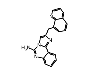 Nc1nc2ccccc2c2nc(Cc3cccc4cccnc34)cn12